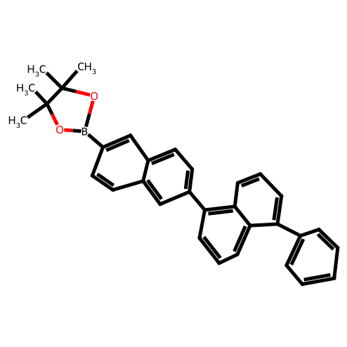 CC1(C)OB(c2ccc3cc(-c4cccc5c(-c6ccccc6)cccc45)ccc3c2)OC1(C)C